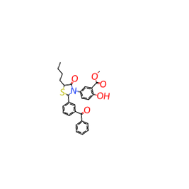 CCCCC1SC(c2cccc(C(=O)c3ccccc3)c2)N(c2ccc(O)c(C(=O)OC)c2)C1=O